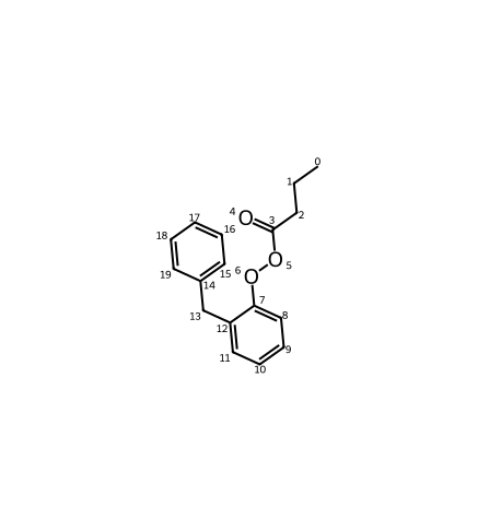 CCCC(=O)OOc1ccccc1Cc1ccccc1